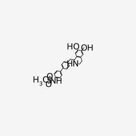 CS(=O)(=O)Nc1ccc(-c2ccc(CC3NCCc4cc(O)c(O)cc43)cc2)cc1